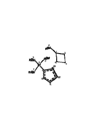 CCCCC1CCC1.CCC[CH2][Sn]([CH2]CCC)([CH2]CCC)[c]1cccs1